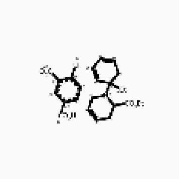 CCOC(=O)C1CC=CCN1C1(CC)C=CC=CC1.Cc1ccc(C(=O)O)cc1C(=O)O